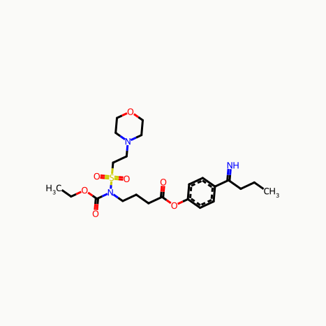 CCCC(=N)c1ccc(OC(=O)CCCN(C(=O)OCC)S(=O)(=O)CCN2CCOCC2)cc1